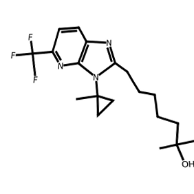 CC(C)(O)CCCCCc1nc2ccc(C(F)(F)F)nc2n1C1(C)CC1